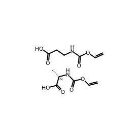 C=COC(=O)NCCC(=O)O.C=COC(=O)N[C@@H](C)C(=O)O